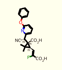 CC1(C)[C@H](C=C(F)C(=O)O)[C@@]1(C(=O)O)[C@H](C#N)c1cccc(Oc2ccccc2)n1